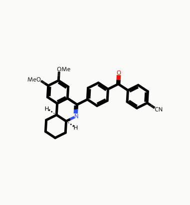 COc1cc2c(cc1OC)[C@@H]1CCCC[C@@H]1N=C2c1ccc(C(=O)c2ccc(C#N)cc2)cc1